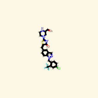 O=CC1CN(C2=NC(=O)C(=Cc3ccc4c(cnn4Cc4ccc(Cl)cc4C(F)(F)F)c3)S2)CCN1